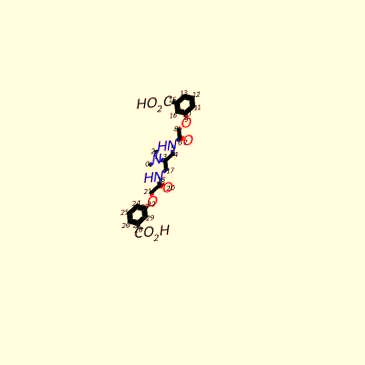 CN(C)C(CNC(=O)COc1cccc(C(=O)O)c1)CNC(=O)COc1cccc(C(=O)O)c1